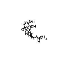 CNC/C=C\CNC[C@]1(O)C(=O)C=C[C@H](O)[C@H]1O